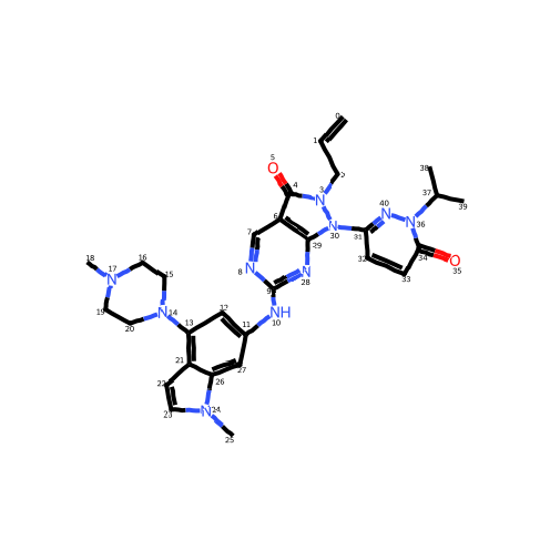 C=CCn1c(=O)c2cnc(Nc3cc(N4CCN(C)CC4)c4ccn(C)c4c3)nc2n1-c1ccc(=O)n(C(C)C)n1